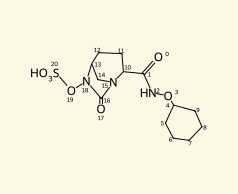 O=C(NOC1CCCCC1)C1CCC2CN1C(=O)N2OS(=O)(=O)O